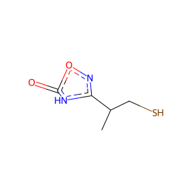 CC(CS)c1noc(=O)[nH]1